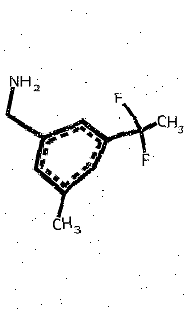 Cc1cc(CN)cc(C(C)(F)F)c1